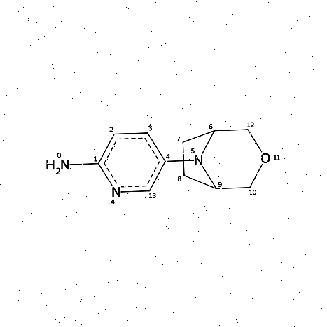 Nc1ccc(N2C3CCC2COC3)cn1